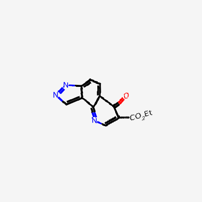 CCOC(=O)C1=CN=c2c(ccc3c2=CN=N3)C1=O